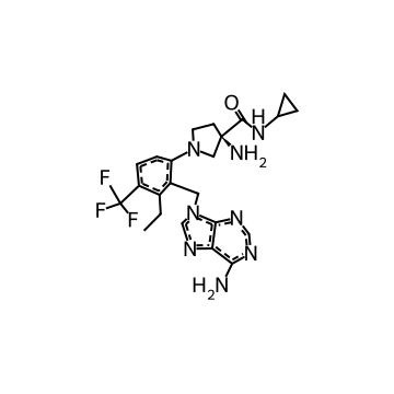 CCc1c(C(F)(F)F)ccc(N2CC[C@](N)(C(=O)NC3CC3)C2)c1Cn1cnc2c(N)ncnc21